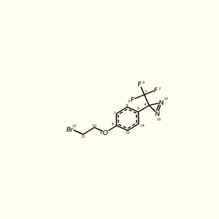 FC(F)(F)C1(c2ccc(OCCBr)cc2)N=N1